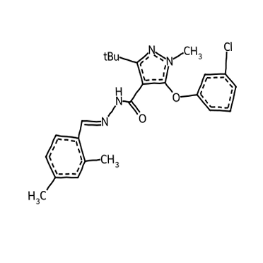 Cc1ccc(C=NNC(=O)c2c(C(C)(C)C)nn(C)c2Oc2cccc(Cl)c2)c(C)c1